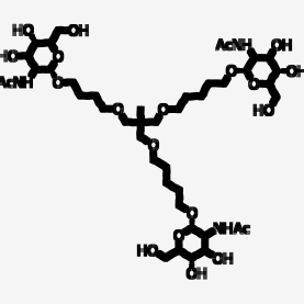 CC(=O)NC1C(O)[C@@H](O)C(CO)O[C@H]1OCCCCCOCC(C)(COCCCCCO[C@@H]1OC(CO)[C@H](O)C(O)C1NC(C)=O)COCCCCO[C@@H]1OC(CO)[C@H](O)C(O)C1NC(C)=O